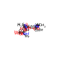 C=C1C[C@H]2C=Nc3cc(OCCCCCOc4cc5c(cc4OC)C(=O)N4CC(=C)C[C@H]4C(O)N5C(=O)OCc4ccc(O[C@@H]5O[C@H](C(=O)O)[C@@H](O)[C@H](O)[C@H]5O)c(C(=O)NCCC(C)C)c4)c(OC)cc3C(=O)N2C1